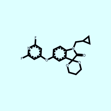 O=C1N(CC2CC2)c2ccc(Oc3cc(F)nc(F)c3)cc2C12OCCCO2